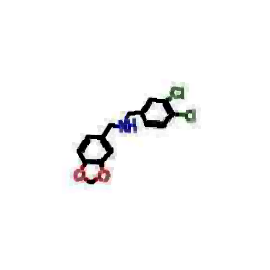 Clc1ccc(CNCc2ccc3c(c2)OCO3)cc1Cl